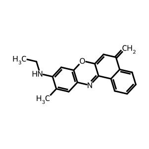 C=c1cc2c(c3ccccc13)=Nc1cc(C)c(NCC)cc1O2